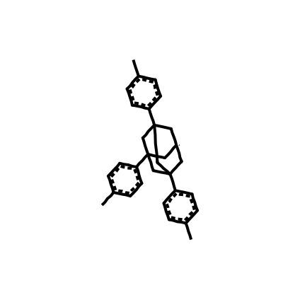 Cc1ccc(C23C[C]4CC(c5ccc(C)cc5)(C2)CC(c2ccc(C)cc2)(C4)C3)cc1